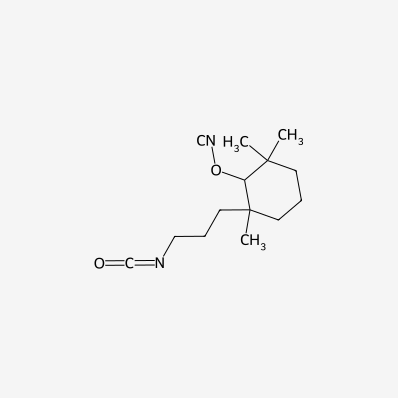 CC1(C)CCCC(C)(CCCN=C=O)C1OC#N